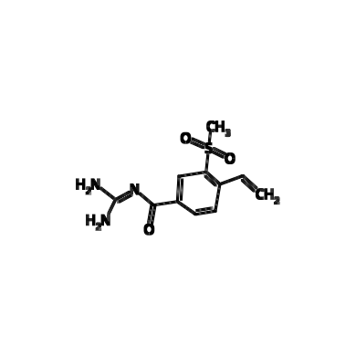 C=Cc1ccc(C(=O)N=C(N)N)cc1S(C)(=O)=O